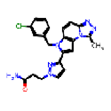 Cc1nnc2ccc3c(cc(-c4ccn(CCC(N)=O)n4)n3Cc3cccc(Cl)c3)n12